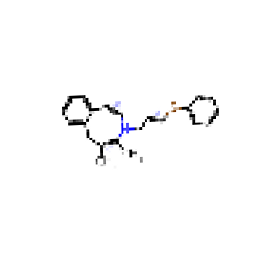 C/C1=C(\C)N(C/C=C/Sc2ccccc2)/C=C\c2ccccc2C1